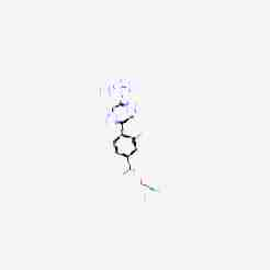 Cc1cc(C(C)OCC(F)(F)F)ccc1-c1cnc(NN)cn1